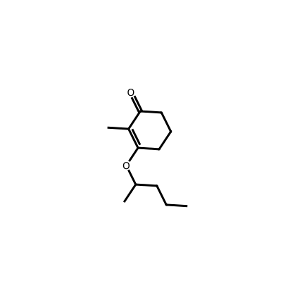 CCCC(C)OC1=C(C)C(=O)CCC1